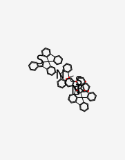 CC1(Cc2cccc3c4c(sc23)C2(c3ccccc3-c3cccc(N5c6ccccc6Sc6ccccc65)c32)c2ccccc2-4)c2ccccc2N(c2ccc3c(c2)C2(c4ccccc4-c4ccccc42)c2sc4ccccc4c2-3)c2ccccc21